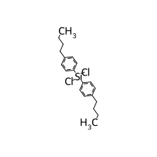 CCCCc1ccc([Si](Cl)(Cl)c2ccc(CCCC)cc2)cc1